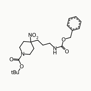 CC(C)(C)OC(=O)N1CCC(CCCNC(=O)OCc2ccccc2)([N+](=O)[O-])CC1